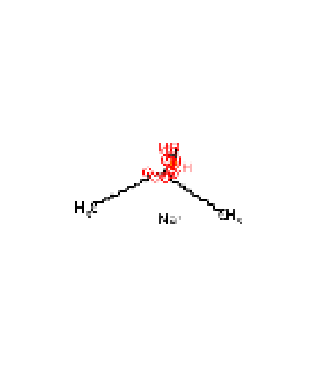 CCCCCCCCCCCCCCCC(=O)OC[C@H](COP(=O)(O)OC(CO)C(=O)[O-])OC(=O)CCCCCCCCCCCCCCC.[Na+]